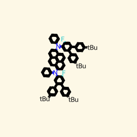 CC(C)(C)c1ccc(-c2cc(F)c(N(c3ccccc3)c3ccc4ccc5c(N(c6ccccc6)c6cc(-c7ccc(C(C)(C)C)cc7)c(-c7ccc(C(C)(C)C)cc7)cc6F)ccc6ccc3c4c65)cc2-c2ccc(C(C)(C)C)cc2)cc1